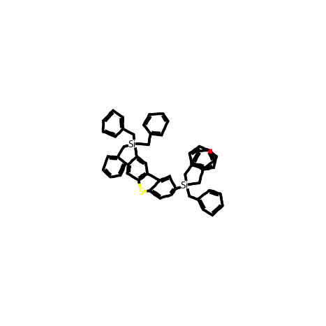 c1ccc(C[Si](Cc2ccccc2)(Cc2ccccc2)c2ccc3sc4ccc([Si](Cc5ccccc5)(Cc5ccccc5)Cc5ccccc5)cc4c3c2)cc1